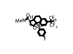 CNC(=O)[C@@H]1CC[C@@]2(S(=O)(=O)c3ccc(F)cc3)c3ccc(C(F)(C(F)(F)F)C(F)(F)F)cc3CC[C@@H]12